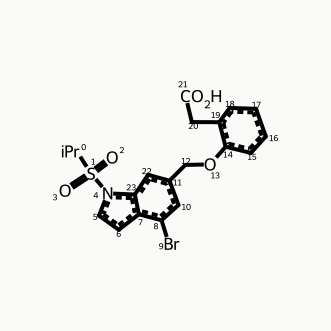 CC(C)S(=O)(=O)n1ccc2c(Br)cc(COc3ccccc3CC(=O)O)cc21